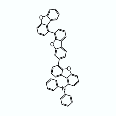 c1ccc(N(c2ccccc2)c2cccc3oc4c(-c5ccc6c(c5)oc5c(-c7cccc8oc9ccccc9c78)cccc56)cccc4c23)cc1